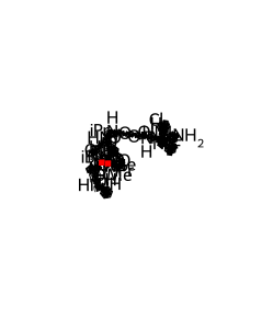 CC[C@H](C)[C@@H]([C@@H](CC(=O)N1CCC[C@H]1[C@H](OC)[C@@H](C)C(=O)N[C@H](C)[C@@H](O)c1ccccc1)OC)N(C)C(=O)[C@@H](NC(=O)[C@H](C(C)C)N(C)C(=O)OCc1ccc(NC(=O)[C@H](CCCNC(N)=O)NC(=O)[C@@H](NC(=O)CCOCCOCCC(=O)NCCNc2ncc(-c3cc(C)cc(F)c3)c(N3CCC(N)CC3)c2-c2nc3ccc(Cl)cc3[nH]2)C(C)C)cc1)C(C)C